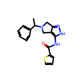 CC(c1ccccc1)N1Cc2n[nH]c(NC(=O)c3cccs3)c2C1